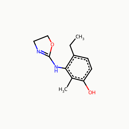 CCc1ccc(O)c(C)c1NC1=NCCO1